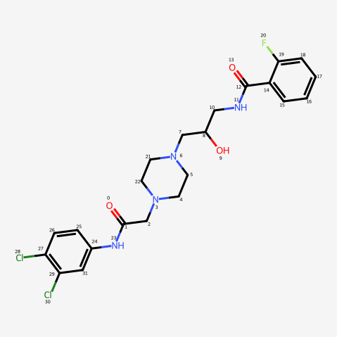 O=C(CN1CCN(CC(O)CNC(=O)c2ccccc2F)CC1)Nc1ccc(Cl)c(Cl)c1